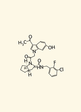 CC(=O)c1cn(CC(=O)N2[C@@H]3CCC[C@@H]3C[C@H]2C(=O)NCc2cccc(Cl)c2F)c2cc(O)ccc12